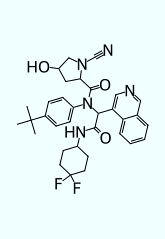 CC(C)(C)c1ccc(N(C(=O)C2CC(O)CN2C#N)C(C(=O)NC2CCC(F)(F)CC2)c2cncc3ccccc23)cc1